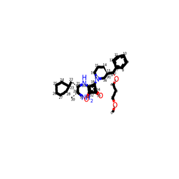 COCCCO[C@@H](c1ccccc1)[C@@H]1CCCN(c2c(N[C@@H](CC3CCCCC3)[C@@H](C)N)c(=O)c2=O)C1